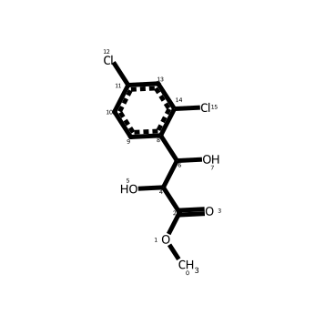 COC(=O)C(O)C(O)c1ccc(Cl)cc1Cl